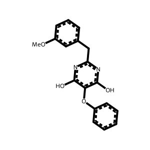 COc1cccc(Cc2nc(O)c(Oc3ccccc3)c(O)n2)c1